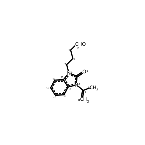 C=C(C)n1c(=O)n(CCCC=O)c2ccccc21